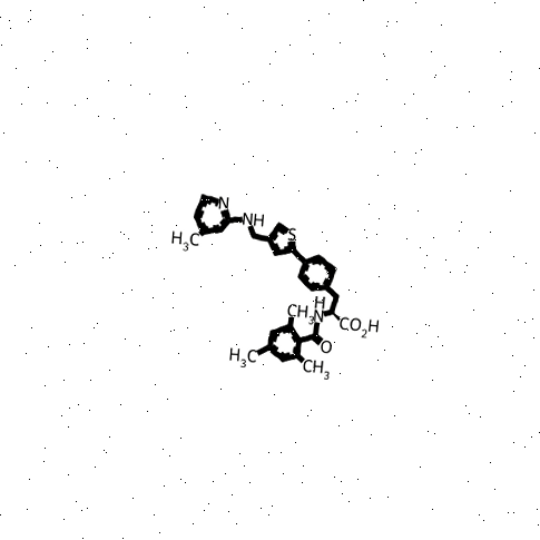 Cc1ccnc(NCc2csc(-c3ccc(C[C@H](NC(=O)c4c(C)cc(C)cc4C)C(=O)O)cc3)c2)c1